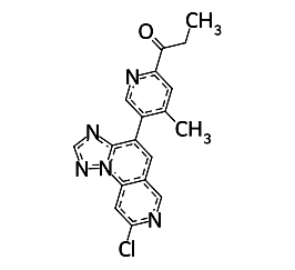 CCC(=O)c1cc(C)c(-c2cc3cnc(Cl)cc3n3ncnc23)cn1